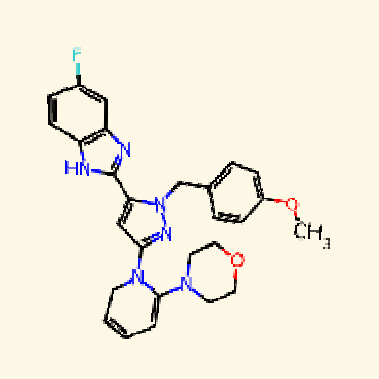 COc1ccc(Cn2nc(N3CC=CC=C3N3CCOCC3)cc2-c2nc3cc(F)ccc3[nH]2)cc1